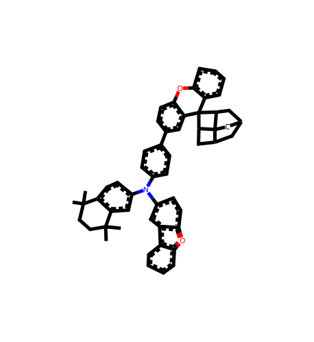 CC1(C)CCC(C)(C)c2cc(N(c3ccc(-c4ccc5c(c4)C4(c6ccccc6O5)C5CC6CC7CC4C75C6)cc3)c3ccc4oc5ccccc5c4c3)ccc21